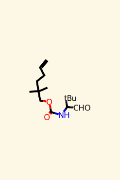 C=CCCC(C)(C)COC(=O)NC(C=O)C(C)(C)C